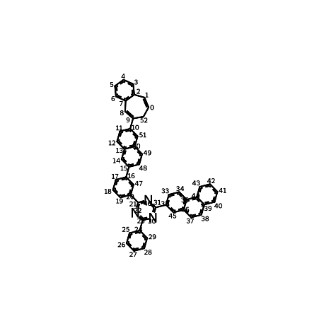 C1=Cc2ccccc2C=C(c2ccc3cc(-c4cccc(-c5nc(-c6ccccc6)nc(-c6ccc7c(ccc8ccccc87)c6)n5)c4)ccc3c2)C1